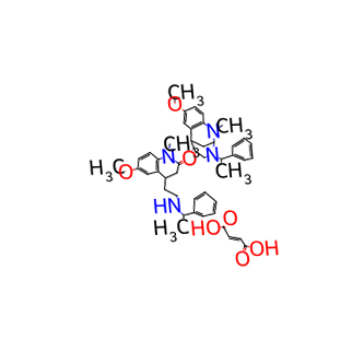 COc1ccc2c(c1)C(CCNC(C)c1ccccc1)CC(=O)N2C.COc1ccc2c(c1)C1CCN(C(C)c3ccccc3)C(C1)N2C.O=C(O)C=CC(=O)O